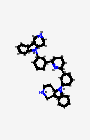 C1=Cc2c(c3ccccc3n2-c2cccc(-c3cccc(-c4cccc(-n5c6ccccc6c6cnccc65)c4)n3)c2)CN1